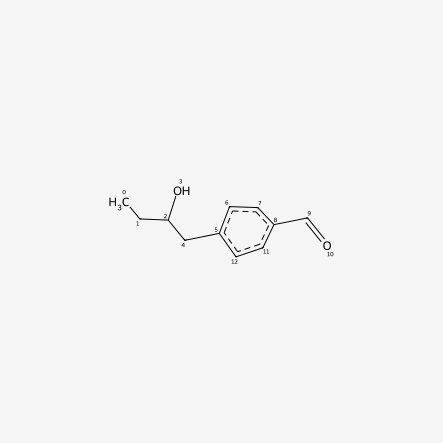 CCC(O)Cc1ccc(C=O)cc1